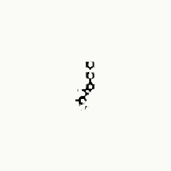 Cc1cc(-c2[nH]c3ccc(C4CCN(C5CCOCC5)CC4)cc3c2C(C)C)cn(CC(C)C)c1=O